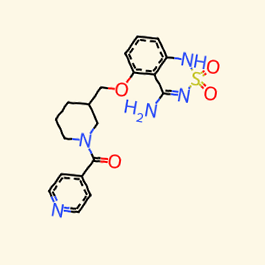 NC1=NS(=O)(=O)Nc2cccc(OCC3CCCN(C(=O)c4ccncc4)C3)c21